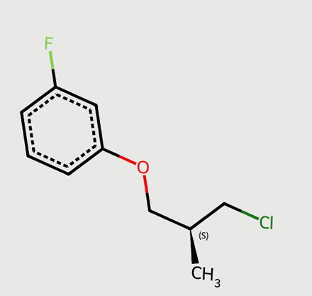 C[C@H](CCl)COc1cccc(F)c1